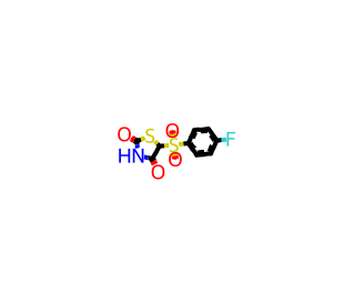 O=C1NC(=O)C(S(=O)(=O)c2ccc(F)cc2)S1